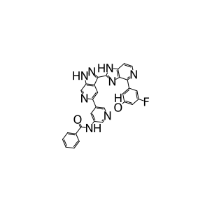 O=C(Nc1cncc(-c2cc3c(-c4nc5c(-c6cc(O)cc(F)c6)nccc5[nH]4)n[nH]c3cn2)c1)c1ccccc1